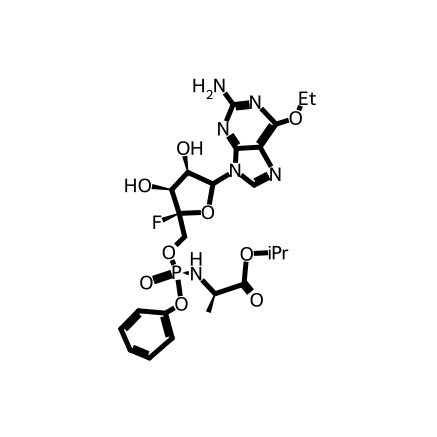 CCOc1nc(N)nc2c1ncn2C1O[C@](F)(CO[P@@](=O)(N[C@H](C)C(=O)OC(C)C)Oc2ccccc2)[C@@H](O)[C@H]1O